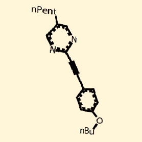 CCCCCc1cnc(C#Cc2ccc(OCCCC)cc2)nc1